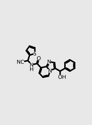 N#CC(NC(=O)c1cccn2c(C(O)c3ccccc3)cnc12)c1cccs1